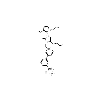 CCCCc1cn(-c2c(C=O)ccn2CCC)c(=O)n1Cc1cc(-c2cccc(-c3nnn[nH]3)c2)ccn1